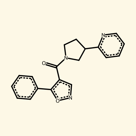 O=C(c1cnoc1-c1ccccc1)N1CCC(c2ccccn2)C1